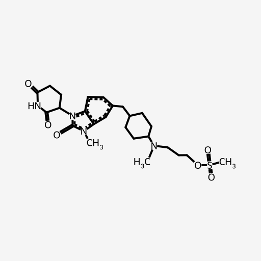 CN(CCCOS(C)(=O)=O)C1CCC(Cc2ccc3c(c2)n(C)c(=O)n3C2CCC(=O)NC2=O)CC1